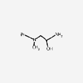 CC(C)N(C)CC(N)O